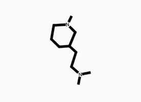 CN(C)CCC1CCCN(C)C1